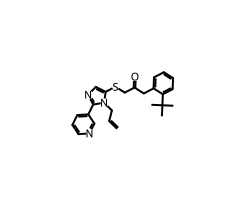 C=CCn1c(SCC(=O)Cc2ccccc2C(C)(C)C)cnc1-c1cccnc1